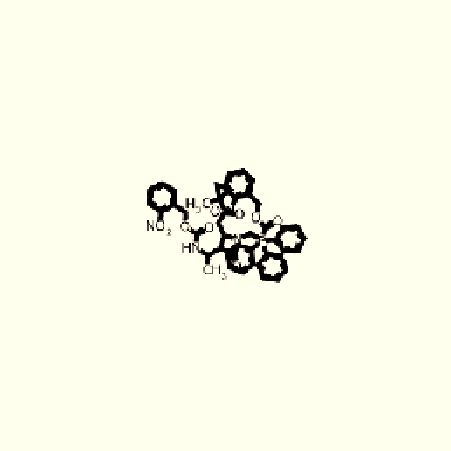 CC(NC(=O)OCc1ccccc1[N+](=O)[O-])C1C(=O)N(CP(C(=O)OCc2ccccc2[N+](=O)[O-])(c2ccccc2)(c2ccccc2)c2ccccc2)C1CC(=O)C1(C)CC1